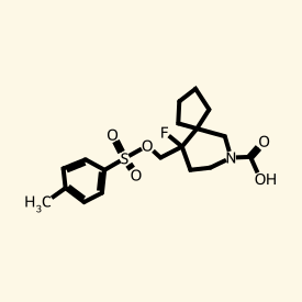 Cc1ccc(S(=O)(=O)OCC2(F)CCN(C(=O)O)CC23CCCC3)cc1